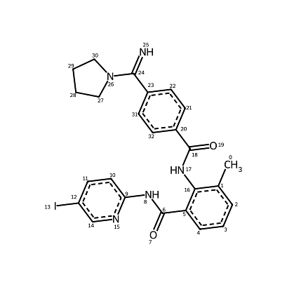 Cc1cccc(C(=O)Nc2ccc(I)cn2)c1NC(=O)c1ccc(C(=N)N2CCCC2)cc1